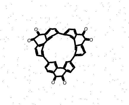 O=c1c(=O)c2ccc3cc2c2cc(ccc12)c1ccc2c(=O)c(=O)c4ccc(cc4c2c1)c1ccc2c(=O)c(=O)c4ccc3cc4c2c1